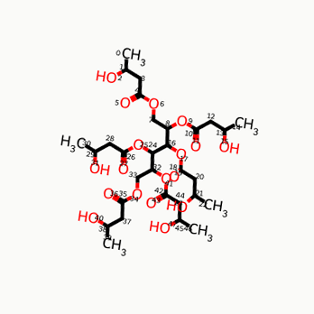 CC(O)CC(=O)OCC(OC(=O)CC(C)O)C(OC(=O)CC(C)O)C(OC(=O)CC(C)O)C(COC(=O)CC(C)O)OC(=O)CC(C)O